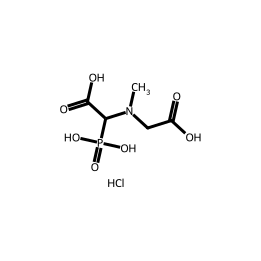 CN(CC(=O)O)C(C(=O)O)P(=O)(O)O.Cl